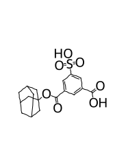 O=C(O)c1cc(C(=O)OC23CC4CC(CC(C4)C2)C3)cc(S(=O)(=O)O)c1